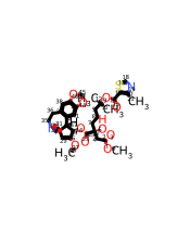 COC(=O)C[C@](O)(CCCC(C)(C)OC(=O)c1scnc1C)C(=O)O[C@@H]1C(OC)=C[C@]23CCCN2CCc2cc4c(cc2[C@H]13)OCO4